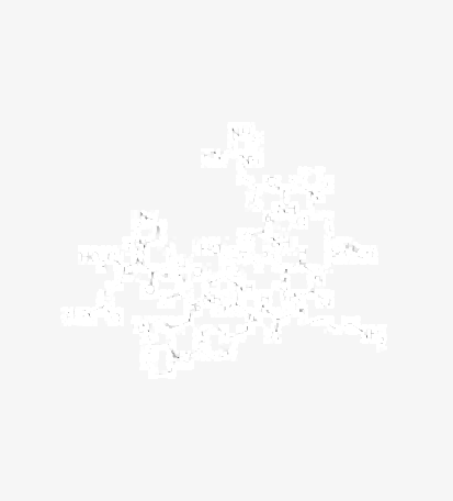 C#CCCC(=O)N1CCC[C@H]1C(=O)N[C@@H](CCCNC(=N)N)C(=O)N[C@@H](CC(C)C)C(=O)N[C@H](CS)C(=O)N[C@H](CCCCN)C(=O)N[C@@H](Cc1ccc(O)cc1)C(=O)N[C@@H](CO)C(=O)N[C@@H](Cc1c[nH]c2ccccc12)C(=O)N[C@@H](Cc1cnc[nH]1)C(=O)N[C@@H](CCC(N)=O)C(=O)O